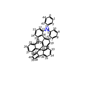 c1ccc(N(c2ccccc2)c2cccc3c2-c2cccc4c2B3c2ccccc2C42c3ccccc3-c3ccccc32)cc1